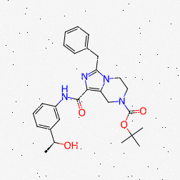 C[C@H](O)c1cccc(NC(=O)c2nc(Cc3ccccc3)n3c2CN(C(=O)OC(C)(C)C)CC3)c1